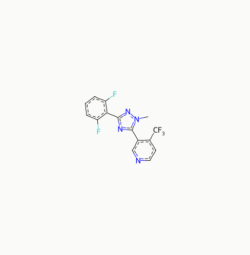 Cn1nc(-c2c(F)cccc2F)nc1-c1cnccc1C(F)(F)F